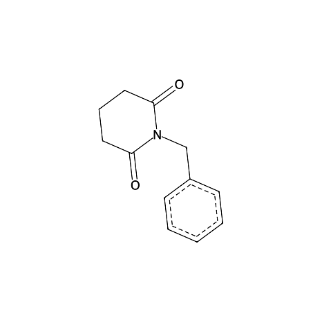 O=C1CCCC(=O)N1Cc1ccccc1